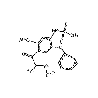 COc1cc(NS(C)(=O)=O)c(Oc2ccccc2)cc1C(=O)C(C)NC=O